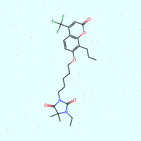 CCCc1c(OCCCCCN2C(=O)N(CC)C(C)(C)C2=O)ccc2c(C(F)(F)F)cc(=O)oc12